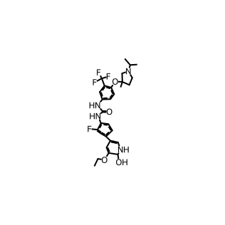 CCOC1=CC(c2ccc(NC(=O)Nc3ccc(OC4(C)CCN(C(C)C)C4)c(C(F)(F)F)c3)c(F)c2)=CNC1O